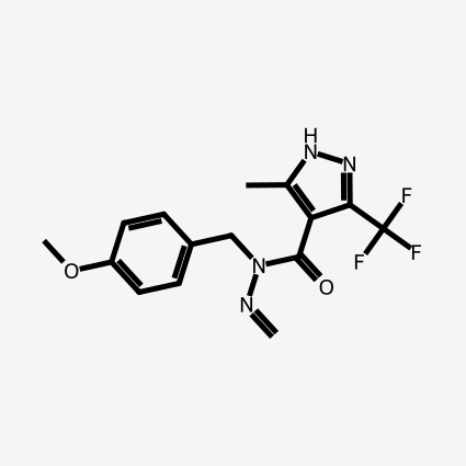 C=NN(Cc1ccc(OC)cc1)C(=O)c1c(C(F)(F)F)n[nH]c1C